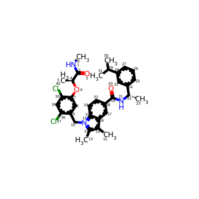 CNC(=O)[C@H](C)Oc1cc(Cn2c(C)c(C)c3cc(C(=O)N[C@@H](C)c4cccc(C(C)C)c4)ccc32)c(Cl)cc1Cl